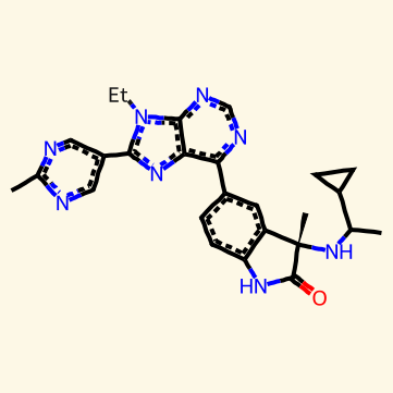 CCn1c(-c2cnc(C)nc2)nc2c(-c3ccc4c(c3)[C@](C)(NC(C)C3CC3)C(=O)N4)ncnc21